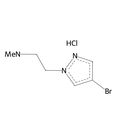 CNCCn1cc(Br)cn1.Cl